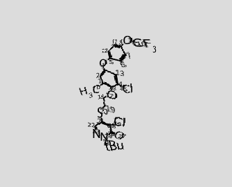 Cc1cc(Oc2ccc(OC(F)(F)F)cc2)cc(Cl)c1OCCSc1cnn(C(C)(C)C)c(=O)c1Cl